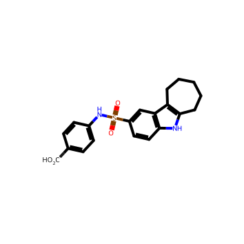 O=C(O)c1ccc(NS(=O)(=O)c2ccc3[nH]c4c(c3c2)CCCCC4)cc1